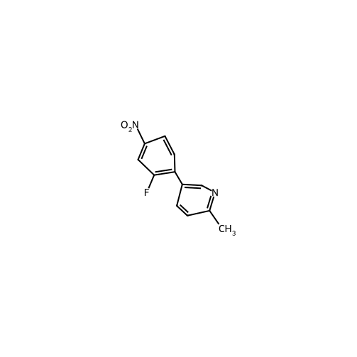 Cc1ccc(-c2ccc([N+](=O)[O-])cc2F)cn1